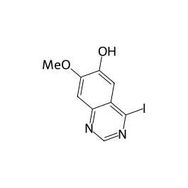 COc1cc2ncnc(I)c2cc1O